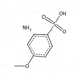 COc1ccc(S(=O)(=O)O)cc1.N